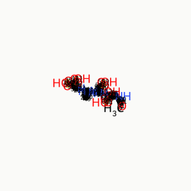 COc1ccc(Nc2ccc3c(O)c(N=Nc4ccc(N=Nc5ccc(N=Nc6ccc7cc(S(=O)(=O)O)cc(S(=O)(=O)O)c7c6)c6ccccc56)c5ccc(S(=O)(=O)O)cc45)c(S(=O)(=O)O)cc3c2)cc1